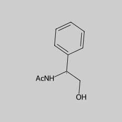 CC(=O)N[C](CO)c1ccccc1